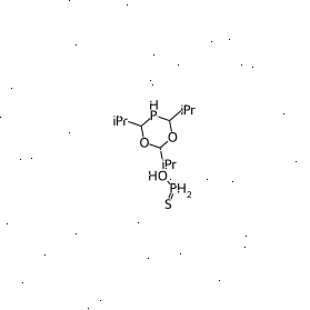 CC(C)C1OC(C(C)C)PC(C(C)C)O1.O[PH2]=S